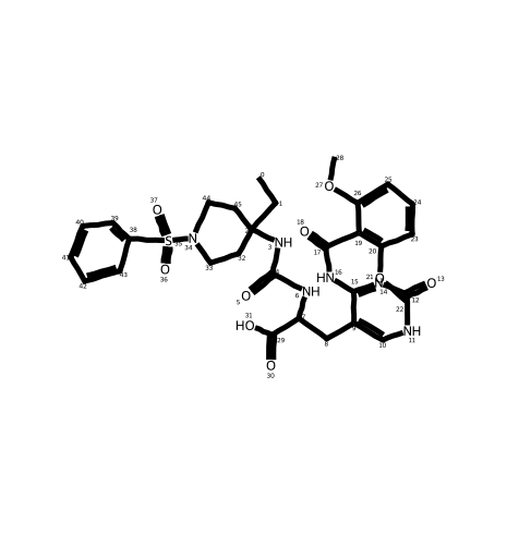 CCC1(NC(=O)NC(Cc2c[nH]c(=O)nc2NC(=O)c2c(OC)cccc2OC)C(=O)O)CCN(S(=O)(=O)c2ccccc2)CC1